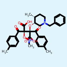 CNO[C@](C(=O)O)(C(=O)c1ccc(C)cc1)[C@@](O[C@H]1CN(Cc2ccccc2)CC[C@H]1C)(C(=O)O)C(=O)c1ccc(C)cc1